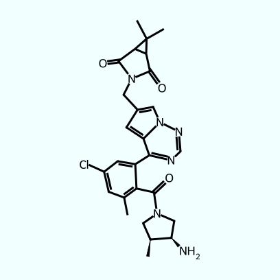 Cc1cc(Cl)cc(-c2ncnn3cc(CN4C(=O)C5C(C4=O)C5(C)C)cc23)c1C(=O)N1C[C@@H](N)[C@@H](C)C1